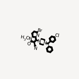 Cn1c(=O)c(C#N)c(N2CCN([C@@H](c3ccccc3)c3ccc(Cl)cc3)CC2)c2nc(Br)ccc21